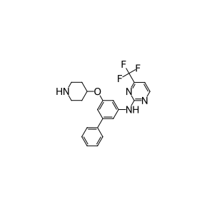 FC(F)(F)c1ccnc(Nc2cc(OC3CCNCC3)cc(-c3ccccc3)c2)n1